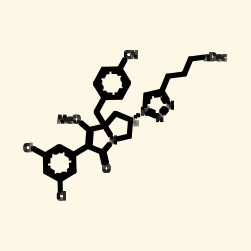 CCCCCCCCCCCCCc1cn([C@@H]2CN3C(=O)C(c4cc(Cl)cc(Cl)c4)=C(OC)C3(Cc3ccc(C#N)cc3)C2)nn1